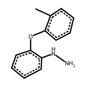 Cc1ccccc1Oc1ccccc1NN